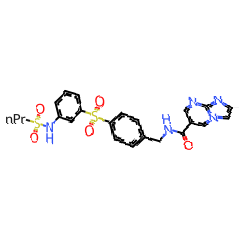 CCCS(=O)(=O)Nc1cccc(S(=O)(=O)c2ccc(CNC(=O)c3cnc4nccn4c3)cc2)c1